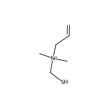 C=CC[N+](C)(C)CS